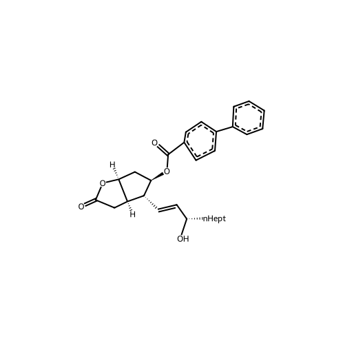 CCCCCCC[C@H](O)/C=C/[C@@H]1[C@H]2CC(=O)O[C@H]2C[C@H]1OC(=O)c1ccc(-c2ccccc2)cc1